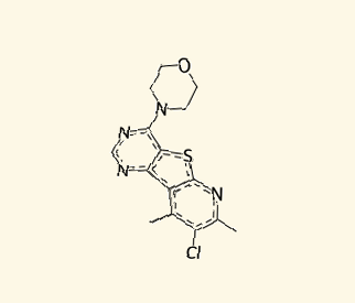 Cc1nc2sc3c(N4CCOCC4)ncnc3c2c(C)c1Cl